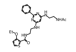 CCOc1ccsc1C(=O)NCCNc1cc(NCCNC(C)=O)nc(-c2ccccc2)n1